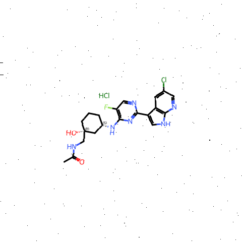 CC(=O)NC[C@@]1(O)CCC[C@H](Nc2nc(-c3c[nH]c4ncc(Cl)cc34)ncc2F)C1.Cl